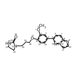 COc1cc(-c2ccc3nccn3n2)ccc1OCCCN1CCNC1=O